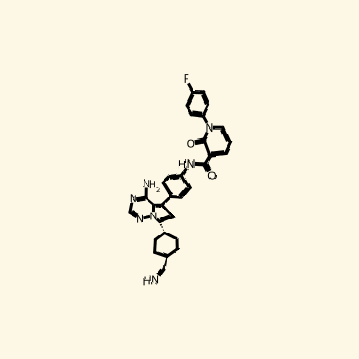 N=C[C@H]1CC[C@H](c2cc(-c3ccc(NC(=O)c4cccn(-c5ccc(F)cc5)c4=O)cc3)c3c(N)ncnn32)CC1